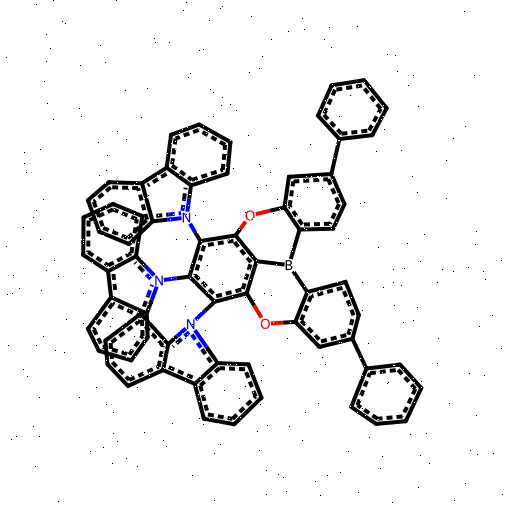 c1ccc(-c2ccc3c(c2)Oc2c4c(c(-n5c6ccccc6c6ccccc65)c(-n5c6ccccc6c6ccccc65)c2-n2c5ccccc5c5ccccc52)Oc2cc(-c5ccccc5)ccc2B34)cc1